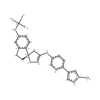 Cn1cc(-c2ccc(OC3=NO[C@@]4(CCc5cc(OC(F)(F)F)ccc54)C3)cn2)cn1